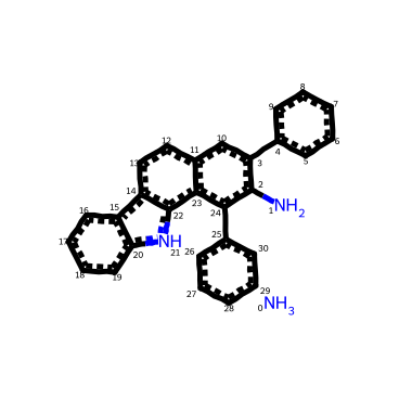 N.Nc1c(-c2ccccc2)cc2ccc3c4ccccc4[nH]c3c2c1-c1ccccc1